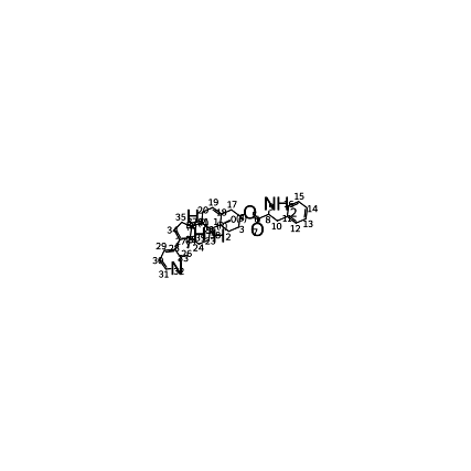 C[C@]12CC[C@H](OC(=O)C(N)Cc3ccccc3)CC1=CC[C@@H]1[C@@H]2CC[C@]2(C)C(c3cccnc3)=CC[C@@H]12